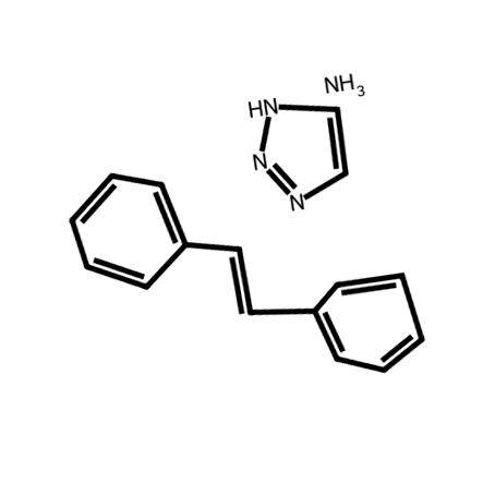 C(=Cc1ccccc1)c1ccccc1.N.c1c[nH]nn1